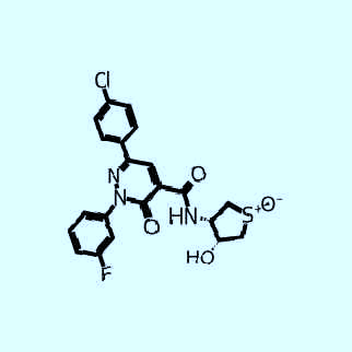 O=C(N[C@@H]1C[S@+]([O-])C[C@@H]1O)c1cc(-c2ccc(Cl)cc2)nn(-c2cccc(F)c2)c1=O